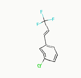 FC(F)(F)C=Cc1cccc(Cl)c1